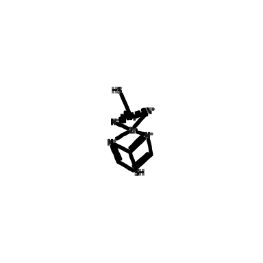 SC1=[N+]2C=CC=[N+]1[Zn]21[n+]2ccc[n+]1c2S